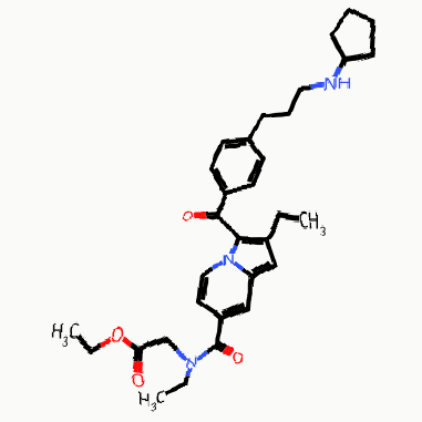 CCOC(=O)CN(CC)C(=O)c1ccn2c(C(=O)c3ccc(CCCNC4CCCC4)cc3)c(CC)cc2c1